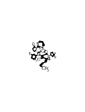 C=C(/C(Cl)=C\C=C/C)[C@@H](C(=O)N[C@H]1CCC(F)(F)C1)N(C(=O)[C@@H]1CCC(=O)N1c1ncccn1)c1cccc(F)c1